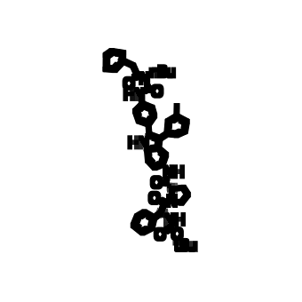 CCCCN(C(=O)Cc1ccccc1)C(=O)Nc1ccc(-c2[nH]c3ccc(NC(=O)[C@@H]4CCCN4C(=O)[C@H](NC(=O)OC(C)(C)C)c4ccccc4)cc3c2-c2cccc(C)c2)cc1